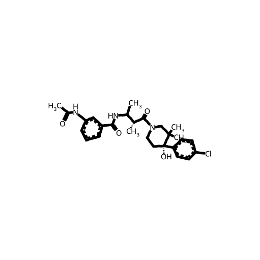 CC(=O)Nc1cccc(C(=O)NC(C)[C@@H](C)C(=O)N2CC[C@](O)(c3ccc(Cl)cc3)C(C)(C)C2)c1